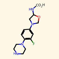 O=C(O)NC1CN(c2ccc(N3CCNCC3)c(F)c2)CO1